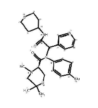 CC1(C)CN(C#N)[C@@H](C(=O)N(c2ccc(C(C)(C)C)cc2)C(C(=O)NC2CCOCC2)c2cccnc2)CO1